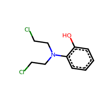 Oc1ccccc1N(CCCl)CCCl